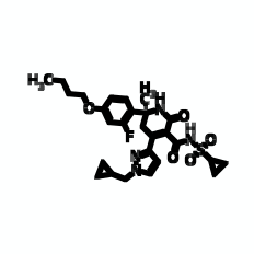 CCCCOc1ccc([C@]2(C)CC(c3ccn(CC4CC4)n3)=C(C(=O)NS(=O)(=O)C3CC3)C(=O)N2)c(F)c1